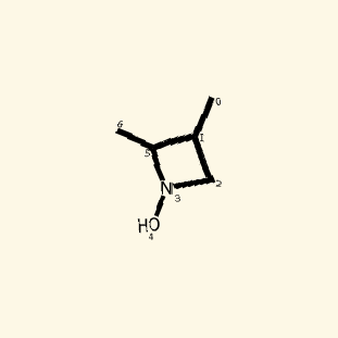 CC1CN(O)C1C